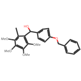 COc1c(C)c(C(O)c2ccc(OCc3ccccc3)cc2)c(OC)c(OC)c1OC